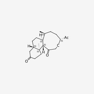 CC(=O)[C@@H]1CCC(=O)[C@H]2[C@@H](CC[C@H]3CC(=O)CC[C@@]32C)[C@@H](C)CC1